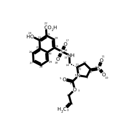 C=CCOC(=O)N1CC(=S(=O)=O)C[C@H]1CNS(=O)(=O)c1cc(C(=O)O)c(O)c2ccccc12